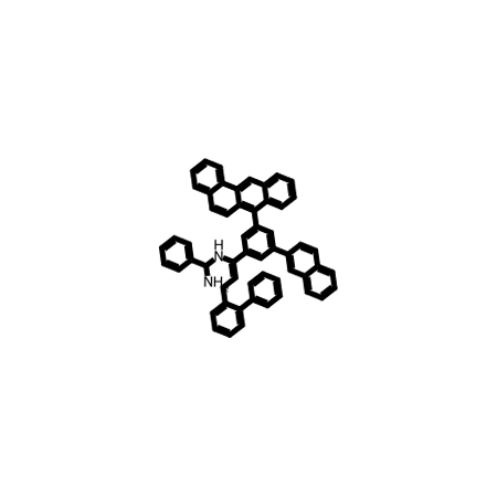 NC(N/C(=C\Cc1ccccc1-c1ccccc1)c1cc(-c2ccc3ccccc3c2)cc(-c2c3ccccc3cc3c2ccc2ccccc23)c1)c1ccccc1